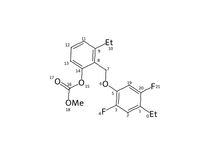 CCc1cc(F)c(OCc2c(CC)cccc2OC(=O)OC)cc1F